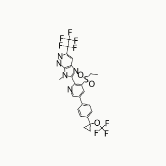 CCS(=O)(=O)c1cc(-c2ccc(C3(OC(F)(F)F)CC3)cc2)cnc1-c1nc2cc(C(F)(F)C(F)(F)F)nnc2n1C